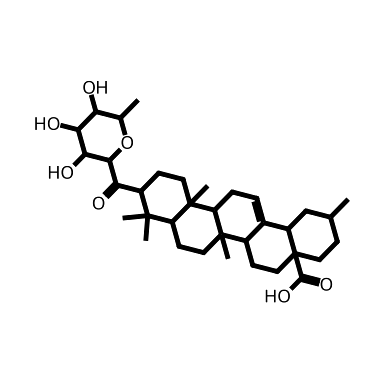 CC1CCC2(C(=O)O)CCC3C(=CCC4C3(C)CCC3C(C)(C)C(C(=O)C5OC(C)C(O)C(O)C5O)CCC34C)C2C1